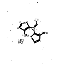 C[CH]=[Zr]([C]1=C(C(C)(C)C)C=CC1)[C]1=C(C(C)(C)C)C=CC1.Cl.Cl